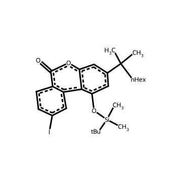 CCCCCCC(C)(C)c1cc(O[Si](C)(C)C(C)(C)C)c2c(c1)oc(=O)c1ccc(I)cc12